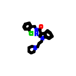 O=C(NCc1ccccc1Cl)c1cn(CCCN2CCCCC2)c2ccccc12